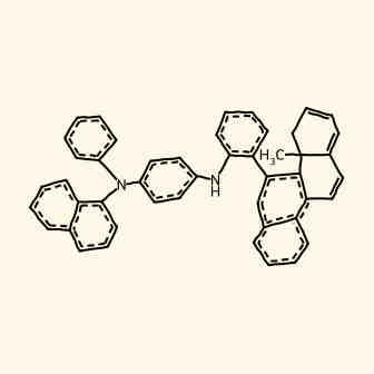 CC12CC=CC=C1C=Cc1c2c(-c2ccccc2Nc2ccc(N(c3ccccc3)c3cccc4ccccc34)cc2)cc2ccccc12